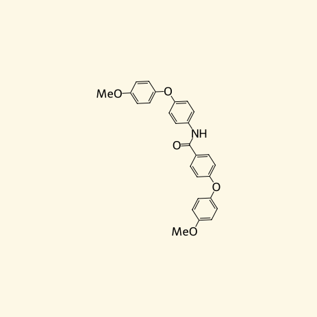 COc1ccc(Oc2ccc(NC(=O)c3ccc(Oc4ccc(OC)cc4)cc3)cc2)cc1